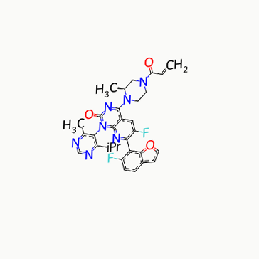 C=CC(=O)N1CCN(c2nc(=O)n(-c3c(C)ncnc3C(C)C)c3nc(-c4c(F)ccc5ccoc45)c(F)cc23)[C@@H](C)C1